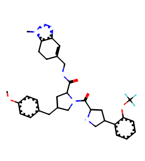 COc1ccc(CC2CC(C(=O)NCC3=Cc4nnn(C)c4CC3)N(C(=O)C3CC(c4ccccc4OC(F)(F)F)CN3)C2)cc1